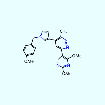 COc1ccc(Cn2ccc(-c3cc(-c4cnc(OC)nc4OC)nnc3C)c2)cc1